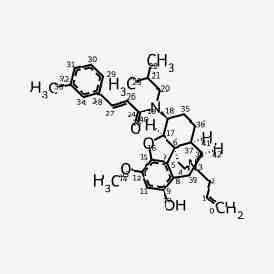 C=CCN1CC[C@]23c4c5c(O)cc(OC)c4O[C@H]2[C@@H](N(CC(C)C)C(=O)C=Cc2cccc(C)c2)CC[C@H]3[C@H]1C5